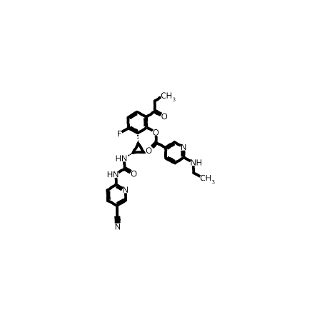 CCNc1ccc(C(=O)Oc2c(C(=O)CC)ccc(F)c2[C@@H]2C[C@@H]2NC(=O)Nc2ccc(C#N)cn2)cn1